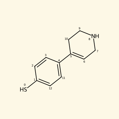 Sc1ccc(C2=CCNCC2)cc1